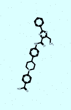 CCc1oc(-c2ccccc2)nc1C(=O)Nc1ccc(C2CCN(c3ccc(C(=O)O)cc3)CC2)cc1